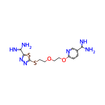 N=C(N)c1ccc(OCCOCCSc2nnc(C(=N)N)s2)nc1